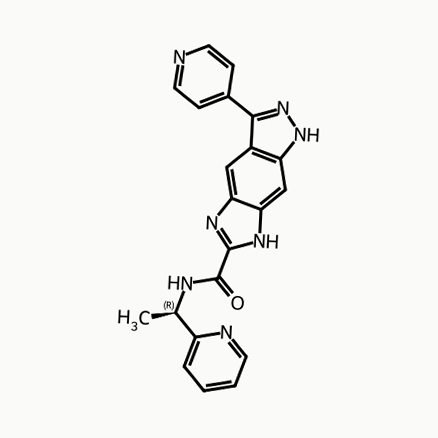 C[C@@H](NC(=O)c1nc2cc3c(-c4ccncc4)n[nH]c3cc2[nH]1)c1ccccn1